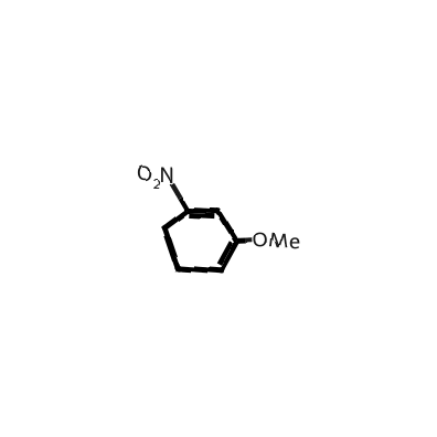 COC1=CCCC([N+](=O)[O-])=C1